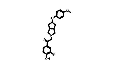 COc1ccc(OC2CC3CN(CC(=O)c4ccc(O)c(F)c4)CC3C2)cc1